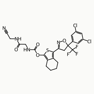 N#CCNC(=O)CNC(=O)Oc1sc(C2=NOC(c3cc(Cl)cc(Cl)c3)(C(F)(F)F)C2)c2c1CCCC2